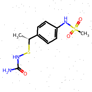 C[C@@H](SNC(N)=O)c1ccc(NS(C)(=O)=O)cc1